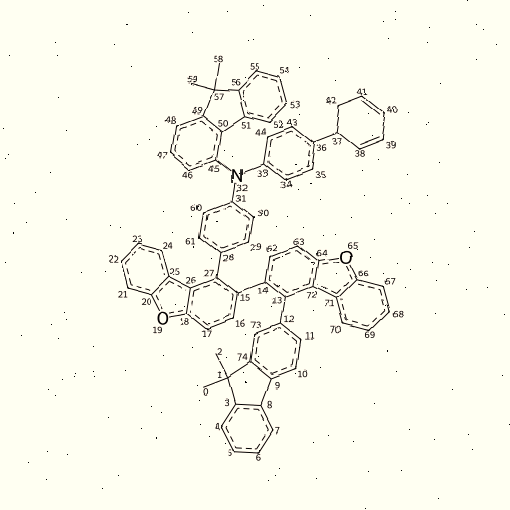 CC1(C)c2ccccc2-c2ccc(-c3c(-c4ccc5oc6ccccc6c5c4-c4ccc(N(c5ccc(C6C=CC=CC6)cc5)c5cccc6c5-c5ccccc5C6(C)C)cc4)ccc4oc5ccccc5c34)cc21